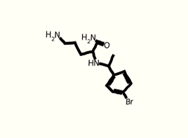 CC(NC(CCCN)C(N)=O)c1ccc(Br)cc1